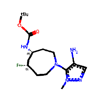 Cn1ncc(N)c1N1CC[C@H](F)[C@H](NC(=O)OC(C)(C)C)CC1